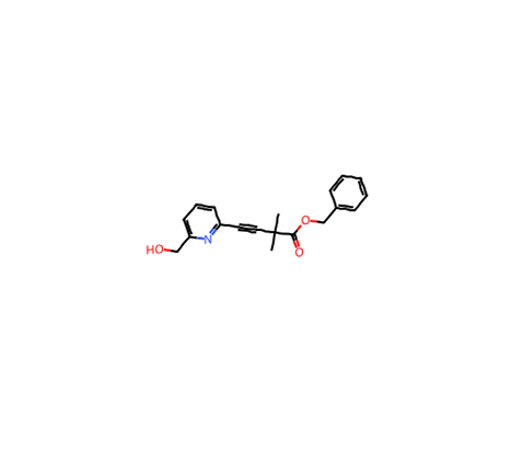 CC(C)(C#Cc1cccc(CO)n1)C(=O)OCc1ccccc1